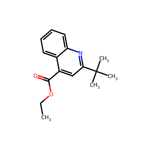 CCOC(=O)c1cc(C(C)(C)C)nc2ccccc12